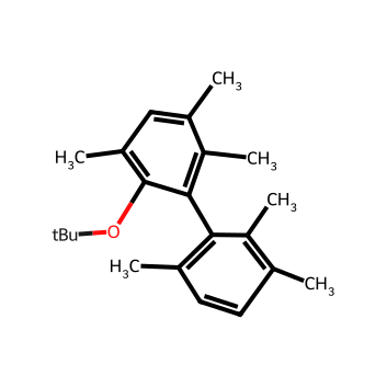 Cc1ccc(C)c(-c2c(C)c(C)cc(C)c2OC(C)(C)C)c1C